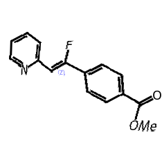 COC(=O)c1ccc(/C(F)=C/c2ccccn2)cc1